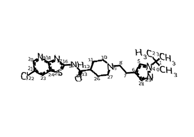 CC(C)(C)n1cc(CCN2CCC(C(=O)Nc3nc4ncc(Cl)cc4s3)CC2)cn1